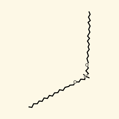 CCCCCCCCCCCCCCCCCCOCCC[N+](C)(C)CCCOCCCCCCCCCCCCCCCCCC